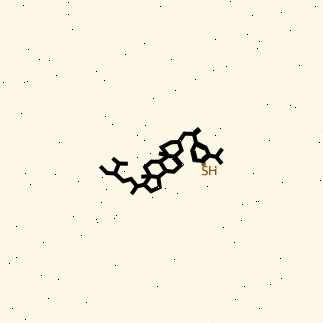 C=C(CC1CCC2(C)C(=CCC3C2CCC2(C)C(C(C)CCC(CC)C(C)C)CCC32)C1)c1ccc(S)c(C(C)C)c1